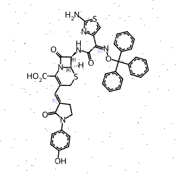 Nc1nc(/C(=N/OC(c2ccccc2)(c2ccccc2)c2ccccc2)C(=O)N[C@@H]2C(=O)N3C(C(=O)O)=C(/C=C4\CCN(c5ccc(O)cc5)C4=O)CS[C@H]23)cs1